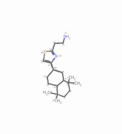 CC1(C)CCC(C)(C)C2CC(c3csc(CCN)n3)CCC21